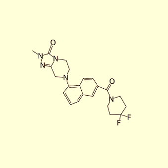 Cn1nc2n(c1=O)CCN(c1cccc3cc(C(=O)N4CCC(F)(F)CC4)ccc13)C2